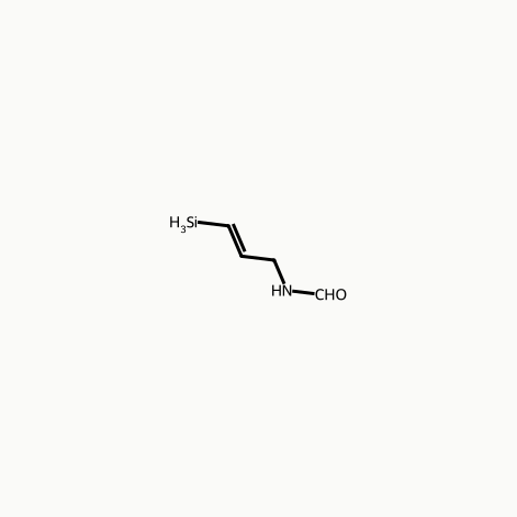 O=CNCC=C[SiH3]